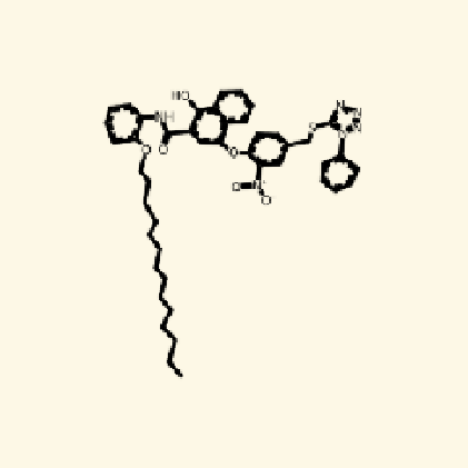 CCCCCCCCCCCCCCOc1ccccc1NC(=O)c1cc(Oc2ccc(CSc3nnnn3-c3ccccc3)cc2[N+](=O)[O-])c2ccccc2c1O